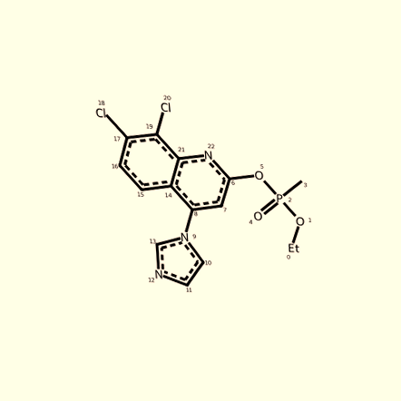 CCOP(C)(=O)Oc1cc(-n2ccnc2)c2ccc(Cl)c(Cl)c2n1